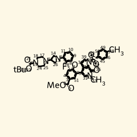 COC(=O)c1ccc(Oc2cccc(N3CC(N4CCN(C(=O)OC(C)(C)C)CC4)C3)c2F)c(-c2cn(C)c(=O)c3c2ccn3S(=O)(=O)c2ccc(C)cc2)c1